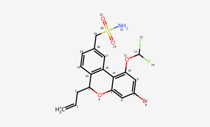 C=CCC1Oc2cc(Br)cc(OC(F)F)c2-c2cc(CS(N)(=O)=O)ccc21